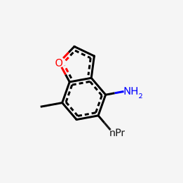 CCCc1cc(C)c2occc2c1N